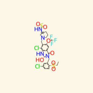 CCS(=O)(=O)c1ccc(Cl)cc1CN1C(=O)c2cc(OC(F)(F)F)c(CN3CCC[C@H](NS(C)(=O)=O)C3)c(Cl)c2NC1O